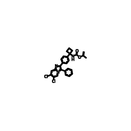 C=C(C)OC(=O)NC1(c2ccc(-c3nc4cc(Cl)c(Cl)cn4c3-c3ccccc3)cc2)CCC1